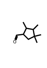 CC1C(C=O)CC(C)(C)C1C